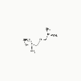 C=C(C)COCC(C)(C)O[SiH3]